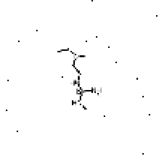 CCN(C)CCN[SiH](NC)NC